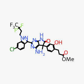 COC(=O)CCc1ccc(C2(C)C(=O)Nc3nc(-c4nn(CCC(F)(F)C(F)(F)F)c5cc(Cl)ccc45)nc(N)c32)cc1O